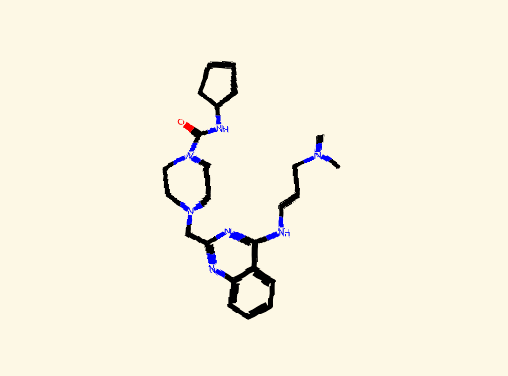 CN(C)CCCNc1nc(CN2CCN(C(=O)NC3CCCC3)CC2)nc2ccccc12